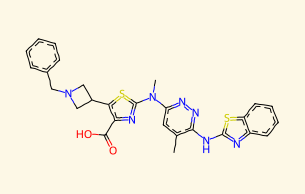 Cc1cc(N(C)c2nc(C(=O)O)c(C3CN(Cc4ccccc4)C3)s2)nnc1Nc1nc2ccccc2s1